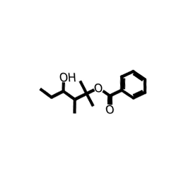 CCC(O)C(C)C(C)(C)OC(=O)c1ccccc1